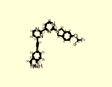 FC(F)Oc1ccc2c(c1)CN(c1nccc(-c3nccc(C#Cc4ccc5[nH]ncc5c4)n3)n1)C2